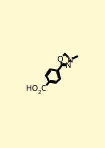 CN1COC(c2ccc(C(=O)O)cc2)=N1